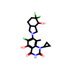 Cc1c(N2CC3CCC(F)(F)C(O)C3C2)c(F)c(O)c2c(=O)[nH]c(=O)n(C3CC3)c12